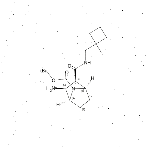 C[C@H]1C[C@@H]2[C@H](C(=O)NCC3(C)CCC3)[C@H](N)[C@H]1N2C(=O)OC(C)(C)C